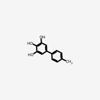 Cc1ccc(-c2cc(O)c(O)c(O)c2)cc1